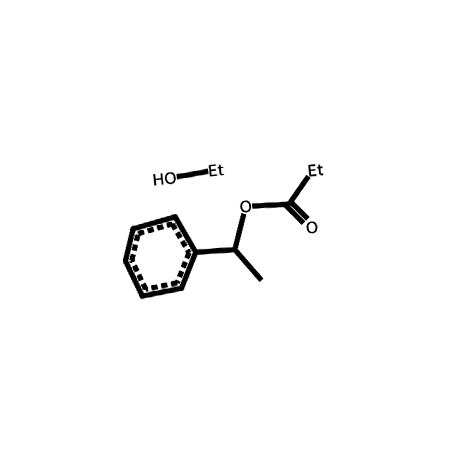 CCC(=O)OC(C)c1ccccc1.CCO